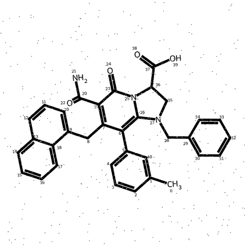 Cc1cccc(-c2c(Cc3cccc4ccccc34)c(C(N)=O)c(=O)n3c2N(Cc2ccccc2)CC3C(=O)O)c1